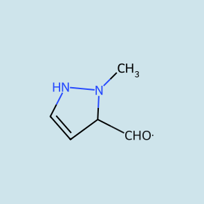 CN1NC=CC1[C]=O